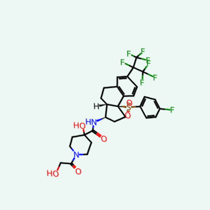 O=C(CO)N1CCC(O)(C(=O)N[C@@H]2CC[C@@]3(S(=O)(=O)c4ccc(F)cc4)c4ccc(C(F)(C(F)(F)F)C(F)(F)F)cc4CC[C@@H]23)CC1